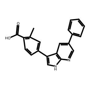 Cc1cc(-c2c[nH]c3ncc(-c4ccccc4)cc23)ccc1C(=O)O